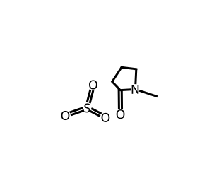 CN1CCCC1=O.O=S(=O)=O